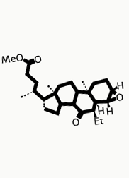 CC[C@H]1C(=O)C2C3CC[C@H]([C@H](C)CCC(=O)OC)[C@@]3(C)CCC2[C@@]2(C)CC[C@@H]3O[C@@H]3[C@@H]12